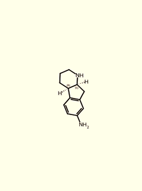 Nc1ccc2c(c1)C[C@@H]1NCCC[C@H]21